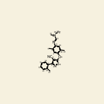 Cc1cc(Oc2snc(-c3ccccc3C)c2C#N)c(C)cc1N=CN(C)C(C)C